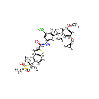 CC(C)(c1cc(Cl)cc(NC(=O)c2cc3cc(C(C)(C)S(C)(=O)=O)ccc3s2)c1)c1cc(OC2CC2)cc(OC(F)(F)F)c1